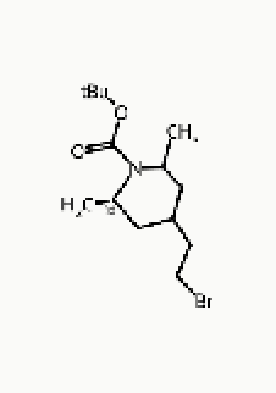 CC1CC(CCBr)C[C@@H](C)N1C(=O)OC(C)(C)C